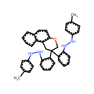 Cc1ccc(NNc2ccccc2C2(c3ccccc3NNc3ccc(C)cc3)COc3ccc4ccccc4c3C2)cc1